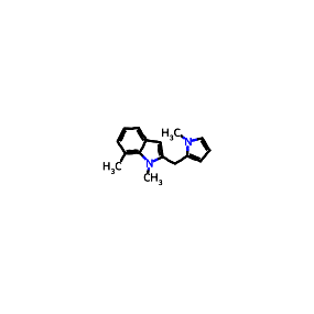 Cc1cccc2cc(Cc3cccn3C)n(C)c12